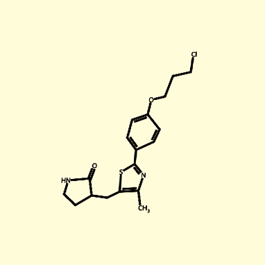 Cc1nc(-c2ccc(OCCCCl)cc2)sc1CC1CCNC1=O